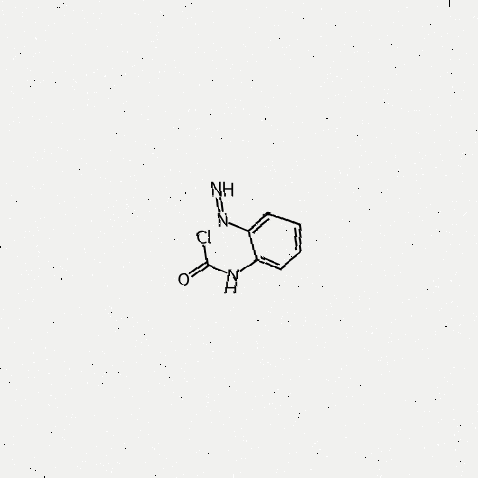 N=Nc1ccccc1NC(=O)Cl